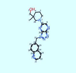 CC1(CO)CCCN(c2cnc3nnn(Cc4ccc5ncccc5c4)c3n2)C1